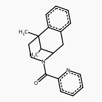 CC1C2Cc3ccccc3C1(C)CCN2C(=O)c1ccccn1